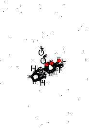 COCOc1cc(C(F)(F)F)ccc1O[C@@H]1[C@@H]2CC[C@H]1CN(c1ccc(C)cn1)C2